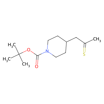 CC(=S)CC1CCN(C(=O)OC(C)(C)C)CC1